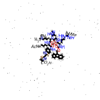 CNC(=N)NCCC[C@H](NC(=O)OCC1c2ccccc2-c2ccccc21)C(=O)N[C@@H](Cc1c[nH]cn1)C(=O)N[C@@H](CCCCN(C)C)C(=O)N[C@@H](CCCCNC(C)=O)C(=O)Nc1ccc2nc(C3=N[C@@H](C(=O)O)CS3)sc2c1